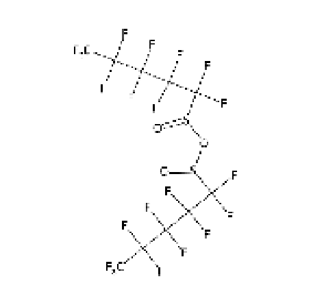 O=S(OS(=O)C(F)(F)C(F)(F)C(F)(F)C(F)(F)C(F)(F)F)C(F)(F)C(F)(F)C(F)(F)C(F)(F)C(F)(F)F